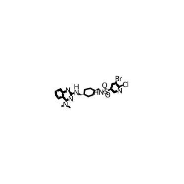 CN(C)c1nc(NC[C@H]2CC[C@H](CNS(=O)(=O)c3cnc(Cl)c(Br)c3)CC2)nc2ccccc12